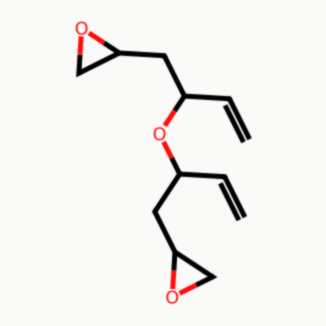 C=CC(CC1CO1)OC(C=C)CC1CO1